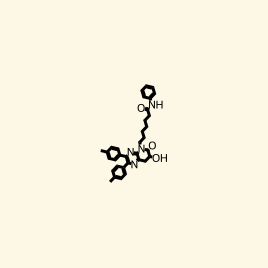 Cc1ccc(-c2nc3c(nc2-c2ccc(C)cc2)N(CCCCCCC(=O)Nc2ccccc2)C(=O)C(O)C3)cc1